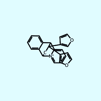 c1ccc2c(c1)C1CC(c3ccoc3)(c3ccoc3)C2c2cccc[n+]21